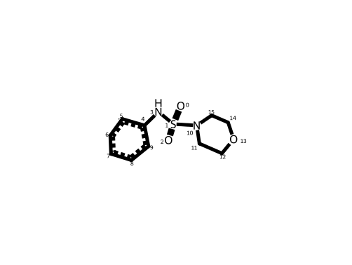 O=S(=O)(Nc1[c]cccc1)N1CCOCC1